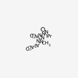 CC(C)c1nc2ccccc2n1-c1nc(N2CCOCC2)c2nc(CN3CC(N4CCOCC4)C3)n(C)c2n1